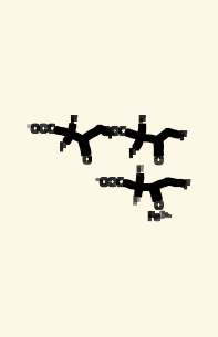 O=C([O-])C(F)(F)C(=O)CF.O=C([O-])C(F)(F)C(=O)CF.O=C([O-])C(F)(F)C(=O)CF.[Fe+3]